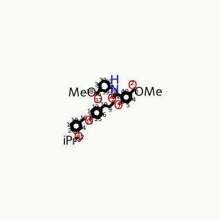 COC(=O)c1ccc(OCCCc2ccc(OCc3cccc(OC(C)C)c3)cc2)c(C(=O)NC2CCCC(C(=O)OC)C2)c1